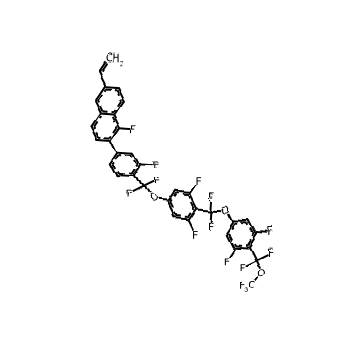 C=Cc1ccc2c(F)c(-c3ccc(C(F)(F)Oc4cc(F)c(C(F)(F)Oc5cc(F)c(C(F)(F)OC(F)(F)F)c(F)c5)c(F)c4)c(F)c3)ccc2c1